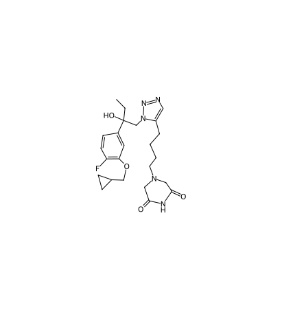 CCC(O)(Cn1nncc1CCCCN1CC(=O)NC(=O)C1)c1ccc(F)c(OCC2CC2)c1